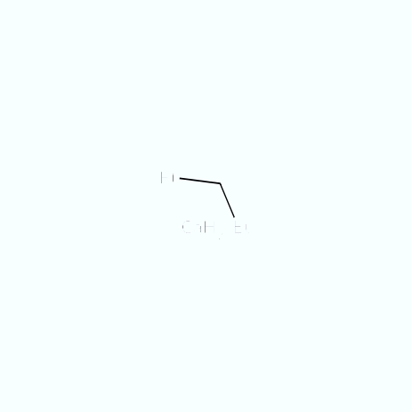 CCCCC.[CaH2]